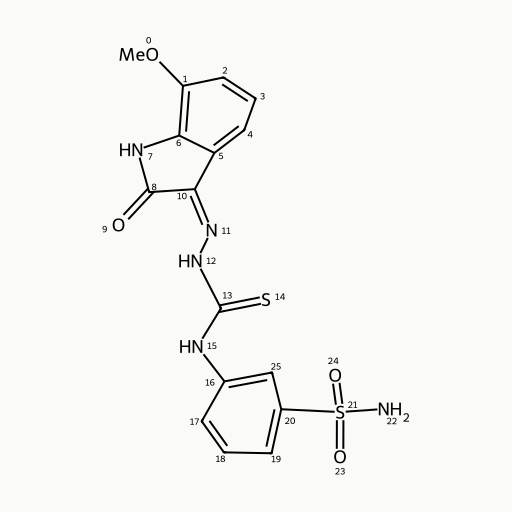 COc1cccc2c1NC(=O)C2=NNC(=S)Nc1cccc(S(N)(=O)=O)c1